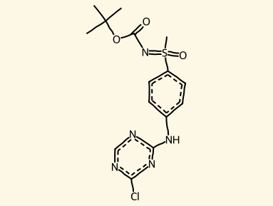 CC(C)(C)OC(=O)N=S(C)(=O)c1ccc(Nc2ncnc(Cl)n2)cc1